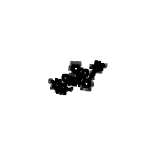 Cc1ccn2nc(C)c(C(=O)N[C@H](C)c3cc4cccc(C#Cc5cnn(C)c5)c4c(=O)n3-c3ccccc3)c2n1